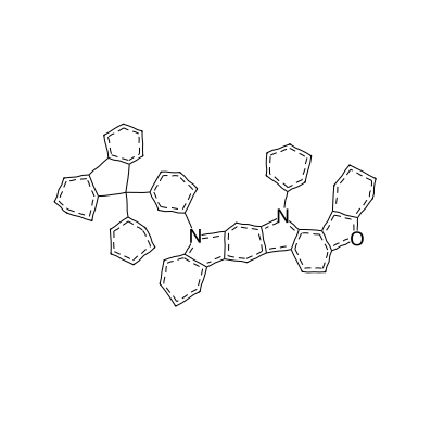 c1ccc(-n2c3cc4c(cc3c3ccc5oc6ccccc6c5c32)c2ccccc2n4-c2cccc(C3(c4ccccc4)c4ccccc4-c4ccccc43)c2)cc1